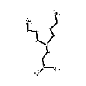 CN(C)CCN(CCCN)CCCN